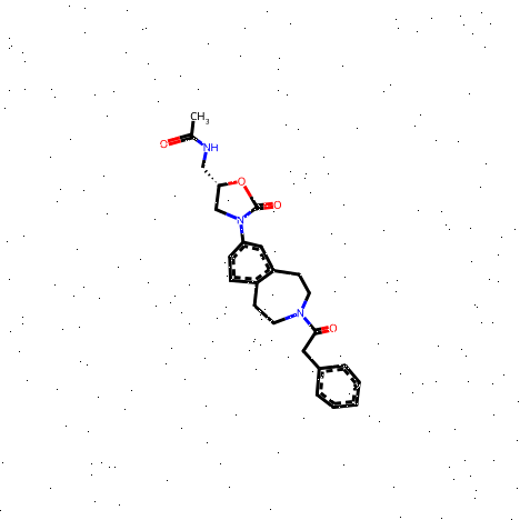 CC(=O)NC[C@H]1CN(c2ccc3c(c2)CCN(C(=O)Cc2ccccc2)CC3)C(=O)O1